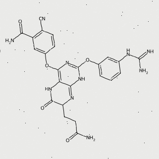 N#Cc1ccc(OC2=C3NC(=O)C(CCC(N)=O)N=C3NC(Oc3cccc(NC(=N)N)c3)=N2)cc1C(N)=O